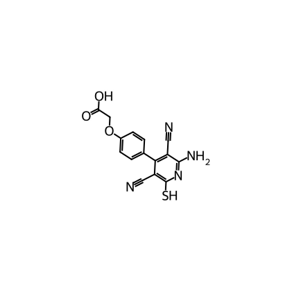 N#Cc1c(N)nc(S)c(C#N)c1-c1ccc(OCC(=O)O)cc1